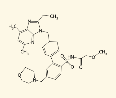 CCc1nc2c(C)cc(C)nc2n1Cc1ccc(-c2cc(CN3CCOCC3)ccc2S(=O)(=O)NC(=O)COC)cc1